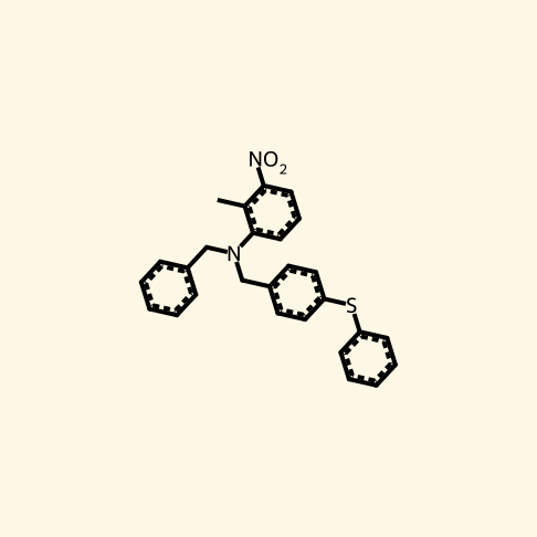 Cc1c(N(Cc2ccccc2)Cc2ccc(Sc3ccccc3)cc2)cccc1[N+](=O)[O-]